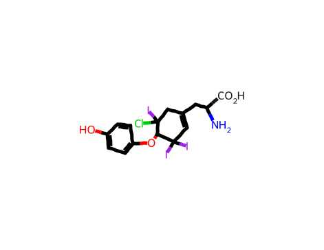 NC(CC1=CC(I)(I)C(Oc2ccc(O)cc2)C(Cl)(I)C1)C(=O)O